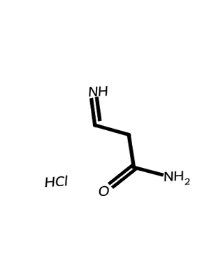 Cl.N=CCC(N)=O